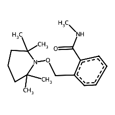 CNC(=O)c1ccccc1CON1C(C)(C)CCCC1(C)C